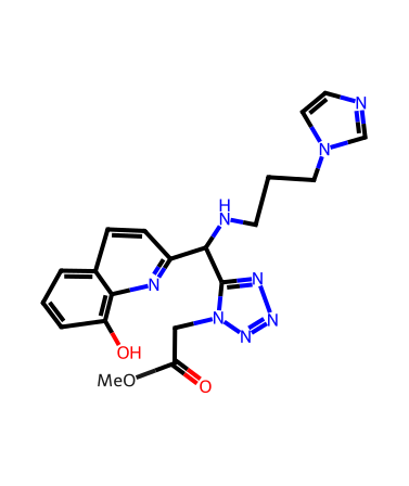 COC(=O)Cn1nnnc1C(NCCCn1ccnc1)c1ccc2cccc(O)c2n1